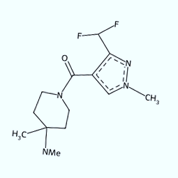 CNC1(C)CCN(C(=O)c2cn(C)nc2C(F)F)CC1